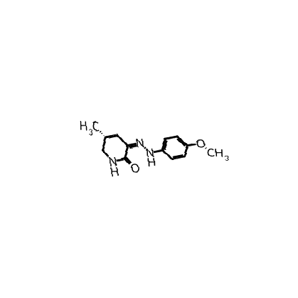 COc1ccc(NN=C2C[C@@H](C)CNC2=O)cc1